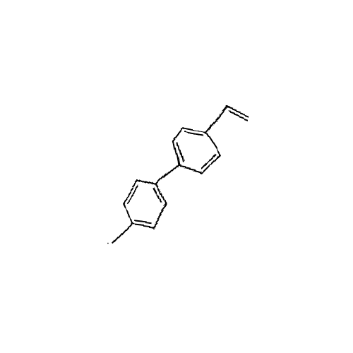 [CH2]c1ccc(-c2ccc(C=C)cc2)cc1